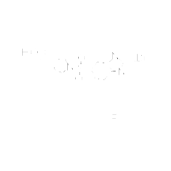 CC(C)(C)c1nc2cc(S(=O)(=O)n3ccc(C(=O)O)c3)ccc2n1CC1CCC(F)CC1